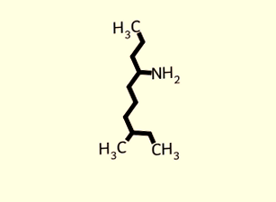 CCCC(N)CCCC(C)CC